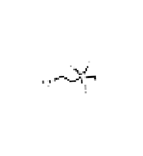 CCC[SH](I)(I)(I)I